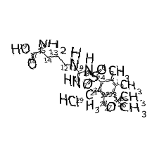 Cc1c(C)c(S(=O)(=O)NC(=N)NCCC[C@H](N)C(=O)O)c(C)c2c1C(C)(C)OC2.Cl